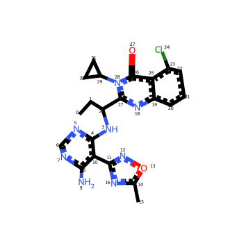 CCC(Nc1ncnc(N)c1-c1noc(C)n1)c1nc2cccc(Cl)c2c(=O)n1C1CC1